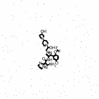 Nc1nn2cccnc2c1C(=O)Nc1cn(CC(O)N2CCC(N3CC[C@@H](O)C3)CC2)nc1-c1cc(Cl)ccc1OC(F)F